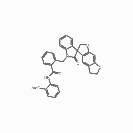 COc1ccccc1NC(=O)c1ccccc1CN1C(=O)C2(COc3cc4c(cc32)CCO4)c2ccccc21